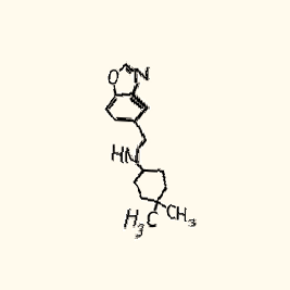 CC1(C)CCC(NCc2ccc3ocnc3c2)CC1